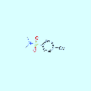 CN(C)S(=O)(=O)c1ccc(C#N)cc1